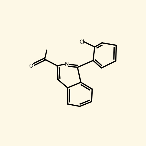 CC(=O)c1cc2ccccc2c(-c2ccccc2Cl)n1